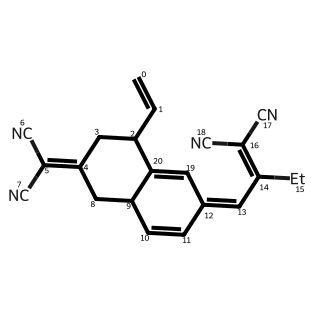 C=CC1CC(=C(C#N)C#N)CC2C=C/C(=C/C(CC)=C(C#N)C#N)C=C12